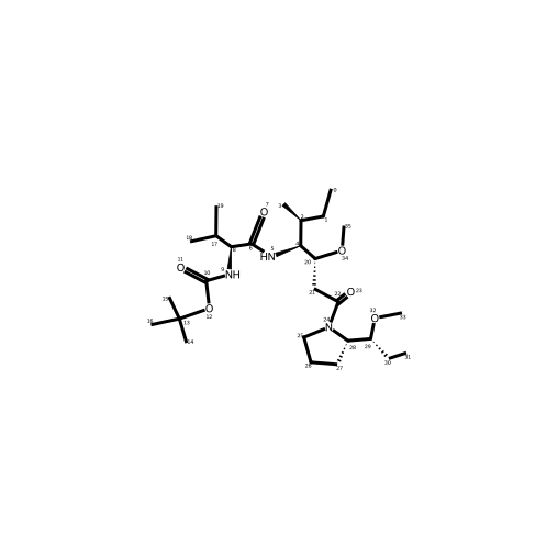 CC[C@H](C)[C@H](NC(=O)[C@@H](NC(=O)OC(C)(C)C)C(C)C)[C@@H](CC(=O)N1CCC[C@H]1[C@@H](CC)OC)OC